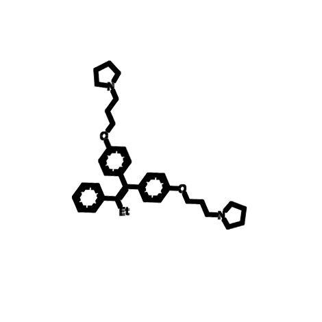 CCC(=C(c1ccc(OCCCN2CCCC2)cc1)c1ccc(OCCCN2CCCC2)cc1)c1ccccc1